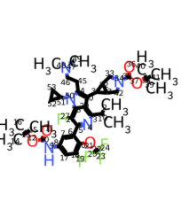 CC(C)c1nc(-c2cc(NC(=O)OC(C)(C)C)cc(F)c2OC(F)(F)F)c(F)c2c1c(C1C3CN(C(=O)OC(C)(C)C)CC31)c(CCN(C)C)n2C1CC1